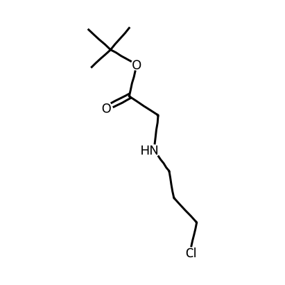 CC(C)(C)OC(=O)CNCCCCl